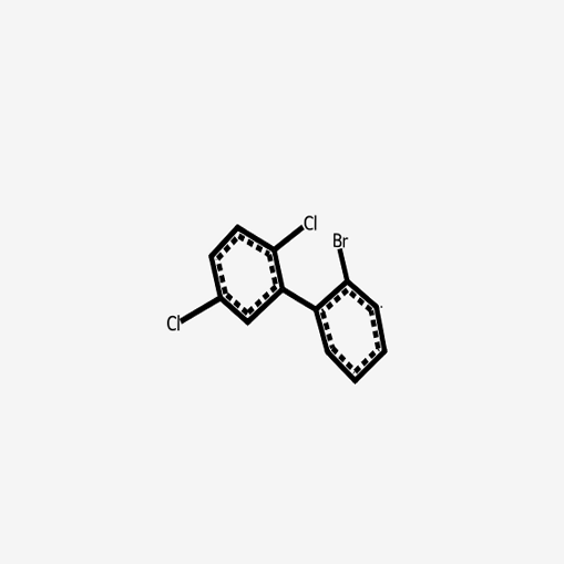 Clc1ccc(Cl)c(-c2ccc[c]c2Br)c1